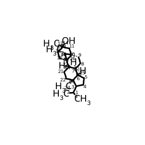 CC(C)C1CC[C@H]2[C@@H]3CC[C@]45C[C@](C)(O)CC[C@]4([C@@H]5C)[C@H]3CC[C@]12C